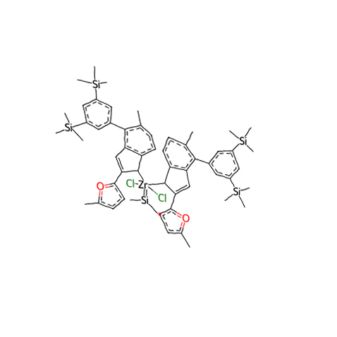 Cc1ccc(C2=Cc3c(ccc(C)c3-c3cc([Si](C)(C)C)cc([Si](C)(C)C)c3)[CH]2[Zr]([Cl])([Cl])([CH]2C(c3ccc(C)o3)=Cc3c2ccc(C)c3-c2cc([Si](C)(C)C)cc([Si](C)(C)C)c2)=[Si](C)C)o1